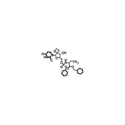 CC[C@H](NP(=O)(OC[C@H]1O[C@@H](n2ccc(=O)[nH]c2=O)[C@@]2(CCO2)[C@@H]1O)Oc1ccccc1)C(=O)OCc1ccccc1